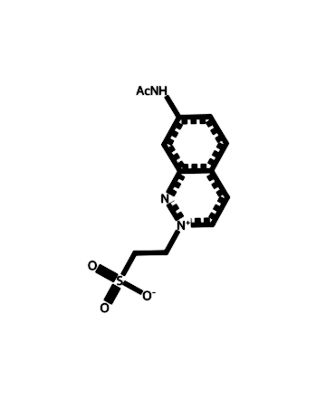 CC(=O)Nc1ccc2cc[n+](CCS(=O)(=O)[O-])nc2c1